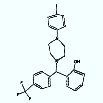 Cc1ccc(N2CCN(C(c3ccc(C(F)(F)F)cc3)c3ccccc3O)CC2)cc1